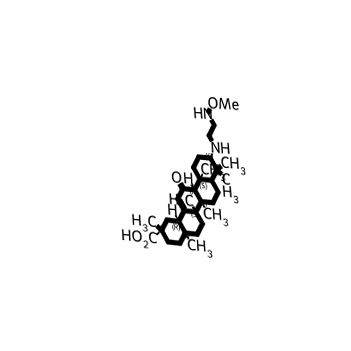 CONCCN[C@H]1CC[C@@]2(C)C(CC[C@]3(C)[C@@H]2C(=O)C=C2[C@@H]4C[C@@](C)(C(=O)O)CC[C@]4(C)CC[C@]23C)C1(C)C